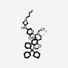 COc1cc(NC2CN(CCCF)C2)cnc1[C@@H]1c2ccc3c(c2C[C@@H](C)N1CC(F)(F)F)OCN3C(c1ccccc1)(c1ccccc1)c1ccccc1